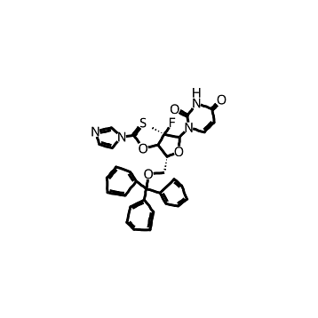 C[C@@]1(F)C(OC(=S)n2ccnc2)[C@@H](COC(c2ccccc2)(c2ccccc2)c2ccccc2)OC1n1ccc(=O)[nH]c1=O